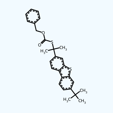 CC(C)(C)c1ccc2c(c1)sc1cc(C(C)(C)SC(=O)OCc3ccccc3)ccc12